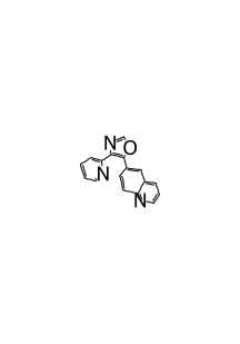 c1ccc(-c2ncoc2-c2ccc3ncccc3c2)nc1